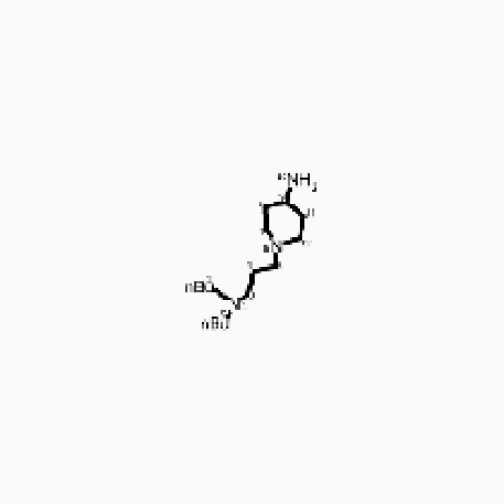 CCCCN(CCCC)CCCN1CCC(N)CC1